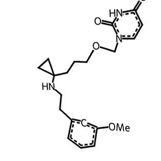 COc1cccc(CCNC2(CCCOCn3ccc(=O)[nH]c3=O)CC2)c1